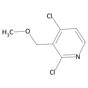 COCc1c(Cl)ccnc1Cl